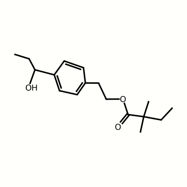 CCC(O)c1ccc(CCOC(=O)C(C)(C)CC)cc1